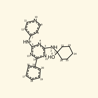 OC1(Nc2nc(Nc3ccncc3)nc(-c3ccccc3)n2)CCCCC1